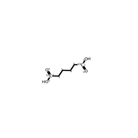 O=[13C](O)CCCC[13C](=O)O